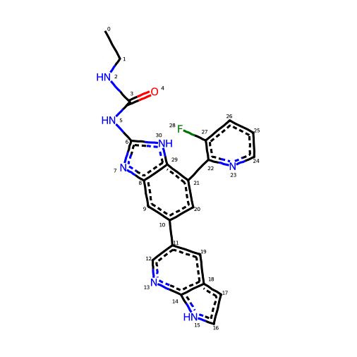 CCNC(=O)Nc1nc2cc(-c3cnc4[nH]ccc4c3)cc(-c3ncccc3F)c2[nH]1